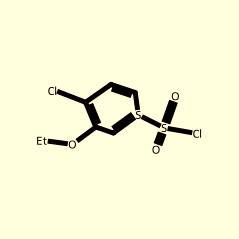 CCOC1=C(Cl)C=CS(S(=O)(=O)Cl)=C1